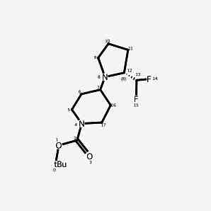 CC(C)(C)OC(=O)N1CCC(N2CCC[C@@H]2C(F)F)CC1